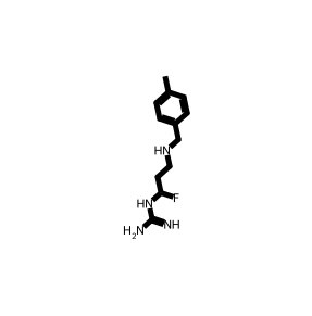 Cc1ccc(CNCCC(F)NC(=N)N)cc1